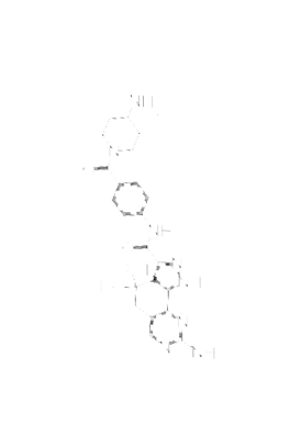 CC1(C)Cc2cnc(N)nc2-c2[nH]nc(C(=O)Nc3ccc(C(=O)N4CCC(N)CC4)cc3)c21